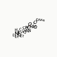 CCN(CC)P(OC[C@H]1O[C@@H](n2cnc3c(NC(c4ccccc4)(c4ccccc4)c4ccc(OC)cc4)ncnc32)C(C)C1C)N(CC)CC